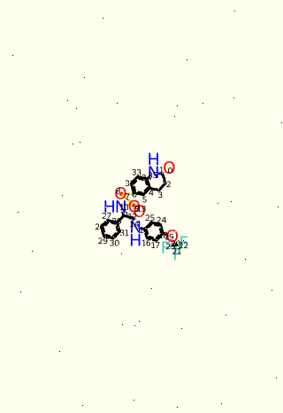 O=C1CCc2cc(S(=O)(=O)NC(C(=O)Nc3ccc(OC(F)(F)F)cc3)c3ccccc3)ccc2N1